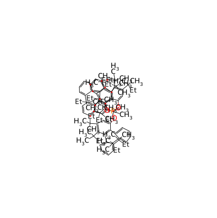 CCC(C)(C)c1ccccc1-c1c(OP(Oc2cc(C(C)(C)CC)c(C(C)(C)CC)c(-c3ccccc3C(C)(C)CC)c2-c2ccccc2C(C)(C)CC)Oc2cc(C(C)(C)CC)c(C(C)(C)CC)c(-c3ccccc3C(C)(C)CC)c2-c2ccccc2C(C)(C)CC)cc(C(C)(C)CC)c(C(C)(C)CC)c1-c1ccccc1C(C)(C)CC